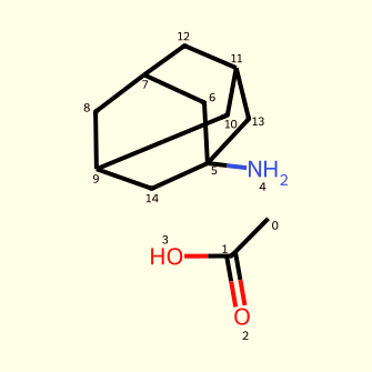 CC(=O)O.NC12CC3CC(CC(C3)C1)C2